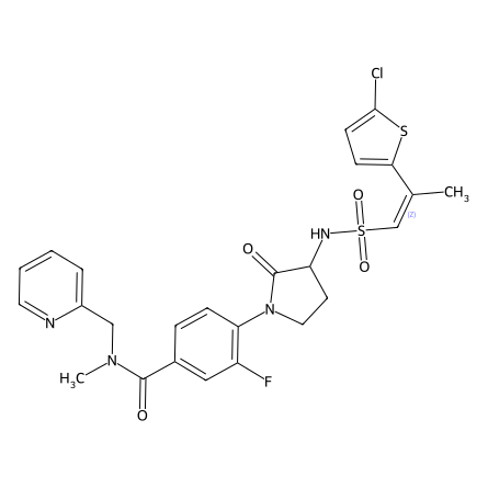 C/C(=C/S(=O)(=O)NC1CCN(c2ccc(C(=O)N(C)Cc3ccccn3)cc2F)C1=O)c1ccc(Cl)s1